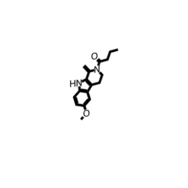 C=C1c2[nH]c3ccc(OC)cc3c2CCN1C(=O)CCC